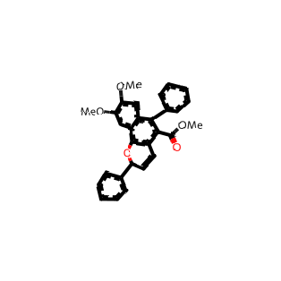 COC(=O)c1c2c(c3cc(OC)c(OC)cc3c1-c1ccccc1)OC(c1ccccc1)C=C2